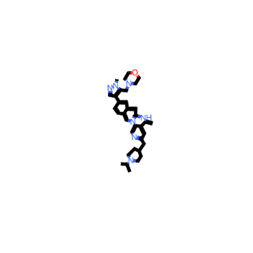 C=C(Nc1cc2cc(-c3cnn(C)c3CN3CCOCC3)ccc2cn1)c1ccnc(CC2CCN(C(C)C)CC2)c1